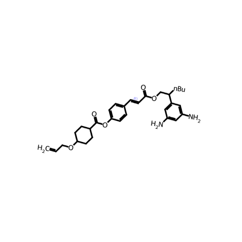 C=CCOC1CCC(C(=O)Oc2ccc(/C=C/C(=O)OCC(CCCC)c3cc(N)cc(N)c3)cc2)CC1